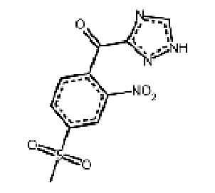 CS(=O)(=O)c1ccc(C(=O)c2nc[nH]n2)c([N+](=O)[O-])c1